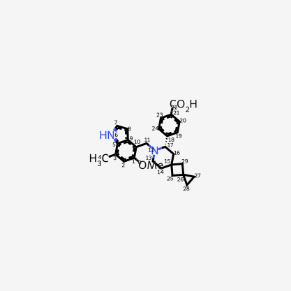 COc1cc(C)c2[nH]ccc2c1CN1CCC2(C[C@H]1c1ccc(C(=O)O)cc1)CC1(CC1)C2